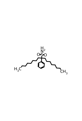 CCCCCCCCC(CCCCCCCC)(c1ccccc1)S(N)(=O)=O